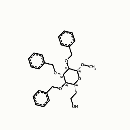 CO[C@@H]1O[C@H](CCO)[C@@H](OCc2ccccc2)[C@H](OCc2ccccc2)[C@H]1OCc1ccccc1